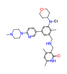 CCN(c1cc(-c2ccc(N3CCN(C)CC3)nc2)cc(CNCc2c(C)cc(C)[nH]c2=O)c1C)C1CCOCC1